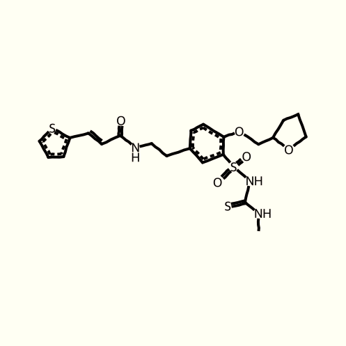 CNC(=S)NS(=O)(=O)c1cc(CCNC(=O)/C=C/c2cccs2)ccc1OCC1CCCO1